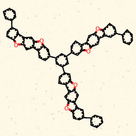 c1ccc(-c2ccc3oc4cc5c(cc4c3c2)oc2cc(-c3cc(-c4ccc6c(c4)oc4cc7c(cc46)oc4ccc(-c6ccccc6)cc47)cc(-c4ccc6c(c4)oc4cc7c(cc46)oc4ccc(-c6ccccc6)cc47)c3)ccc25)cc1